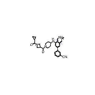 C=C/C=c1/cc(-c2cccc(C#N)c2)cc(NC2CCN(C(=O)C3CN(C(=O)C4CC4)C3)CC2)/c1=C/N